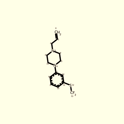 C=CCN1CCN(c2cccc(SC(F)(F)F)c2)CC1